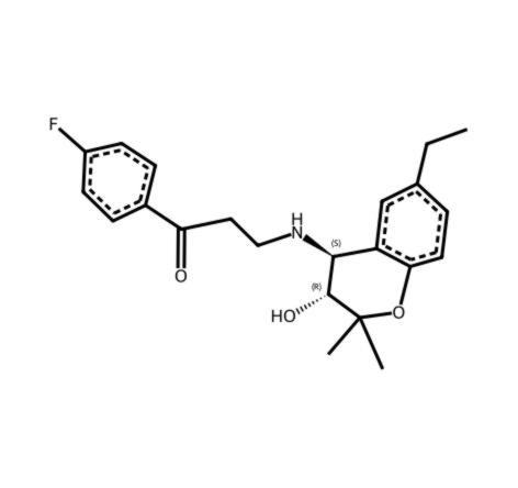 CCc1ccc2c(c1)[C@H](NCCC(=O)c1ccc(F)cc1)[C@@H](O)C(C)(C)O2